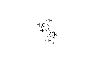 CCn1nncc1C(O)CC(C)C